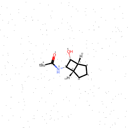 CC(C)(C)C(=O)N[C@@H]1[C@H](O)[C@@H]2CCC[C@@H]21